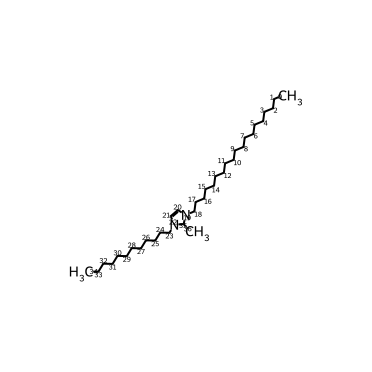 CCCCCCCCCCCCCCCCCCCN1C=CN(CCCCCCCCCCCC)C1C